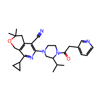 CC(C)C1CN(c2nc(C3CC3)c3c(c2C#N)CC(C)(C)OC3)CCN1C(=O)Cc1cccnc1